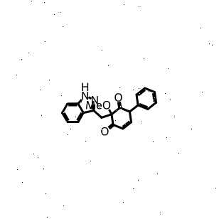 COC1(Cc2n[nH]c3ccccc23)C(=O)C=CC(c2ccccc2)C1=O